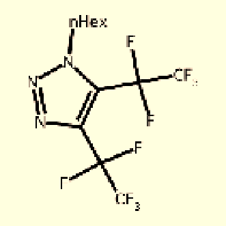 CCCCCCn1nnc(C(F)(F)C(F)(F)F)c1C(F)(F)C(F)(F)F